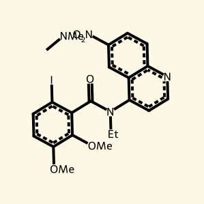 CCN(C(=O)c1c(I)ccc(OC)c1OC)c1ccnc2ccc([N+](=O)[O-])cc12.CNC